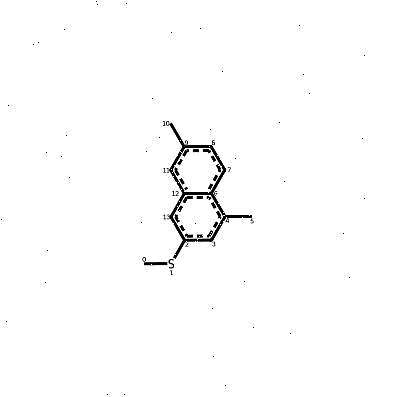 CSc1cc(C)c2ccc(C)cc2c1